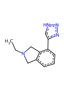 CCN1Cc2cccc(-c3c[nH]nn3)c2C1